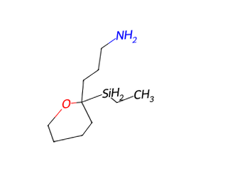 CC[SiH2]C1(CCCN)CCCCO1